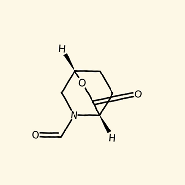 O=CN1C[C@@H]2CC[C@H]1C(=O)O2